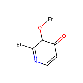 CCOC1C(=O)C=CN=C1CC